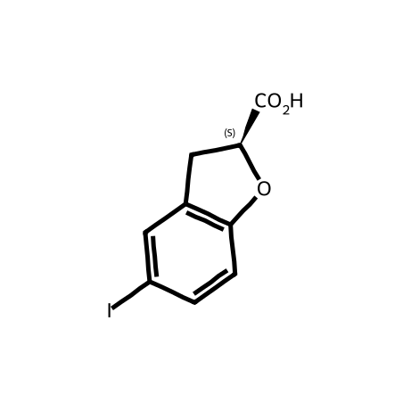 O=C(O)[C@@H]1Cc2cc(I)ccc2O1